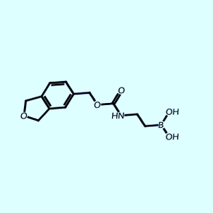 O=C(NCCB(O)O)OCc1ccc2c(c1)COC2